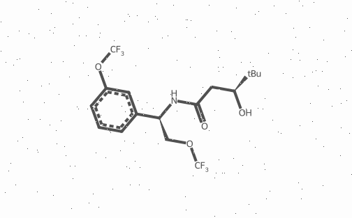 CC(C)(C)[C@@H](O)CC(=O)N[C@@H](COC(F)(F)F)c1cccc(OC(F)(F)F)c1